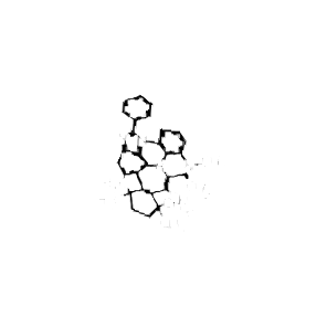 C=C1C2=C(C)C3=C(c4ccc5nc(-c6ccccc6)n6c5c4B2c2c(cccc2-6)N1C)C(C)(C)CCC3(C)C